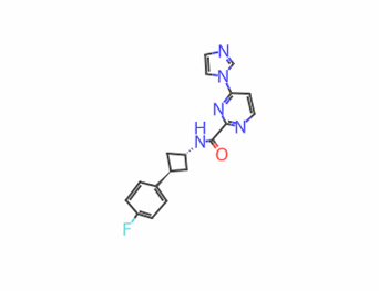 O=C(N[C@H]1C[C@H](c2ccc(F)cc2)C1)c1nccc(-n2ccnc2)n1